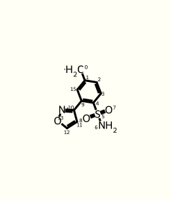 [CH2]c1ccc(S(N)(=O)=O)c(-c2ccon2)c1